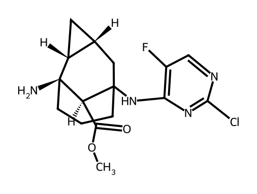 COC(=O)[C@@H]1C2(Nc3nc(Cl)ncc3F)CCC[C@]1(N)[C@@H]1C[C@@H]1C2